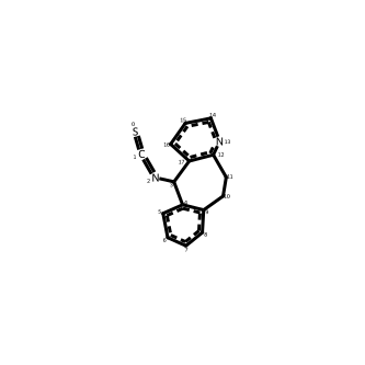 S=C=NC1c2ccccc2CCc2ncccc21